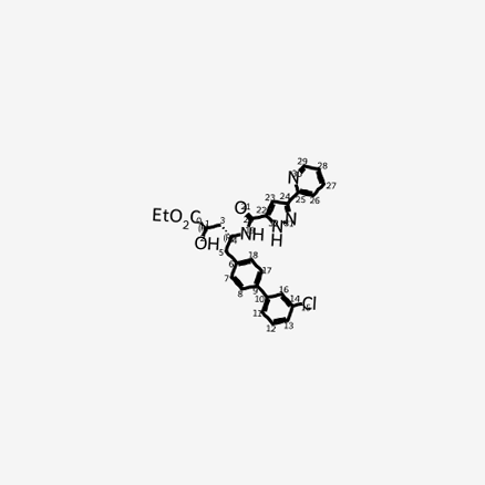 CCOC(=O)[C@H](O)C[C@@H](Cc1ccc(-c2cccc(Cl)c2)cc1)NC(=O)c1cc(-c2ccccn2)n[nH]1